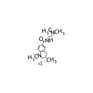 CC1Cc2cc(C(=O)NCCN(C)C)ccc2N(C)[C@H]1C1CC1